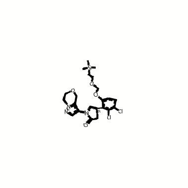 C[Si](C)(C)CCOCOc1ccc(Cl)c(Cl)c1[C@H]1CC(=O)N(c2cnn3c2COCC3)C1